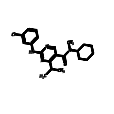 CC(C)c1nc(Nc2cccc(Cl)c2)ncc1C(=O)N(C)C1CCCCC1